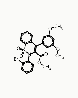 COC(=O)C1=C(c2cc(OC)cc(OC)c2)c2ccccc2S(=O)(=O)N1c1ccccc1Br